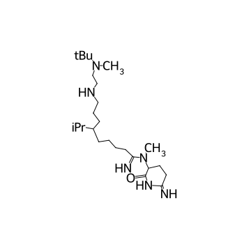 CC(C)C(CCCCC(=N)N(C)C1CCC(=N)NC1=O)CCCNCCN(C)C(C)(C)C